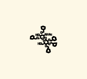 CC(=O)N[C@H]1[C@H](O[C@@H]2O[C@H](CO)[C@H](OCc3ccccc3)[C@H](OCc3ccccc3)[C@H]2OCc2ccccc2)O[C@H](COCc2ccccc2)[C@@H](O)[C@@H]1OCc1ccccc1